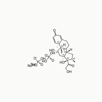 C[C@@H]1C[C@H]2[C@@H]3CCC4=CC(=O)C=C[C@]4(C)[C@@]3(F)[C@@H](O)C[C@]2(C)[C@@]1(O)C(=O)CO.O=P([O-])(O)O.O=P([O-])(O)O.[Na+].[Na+]